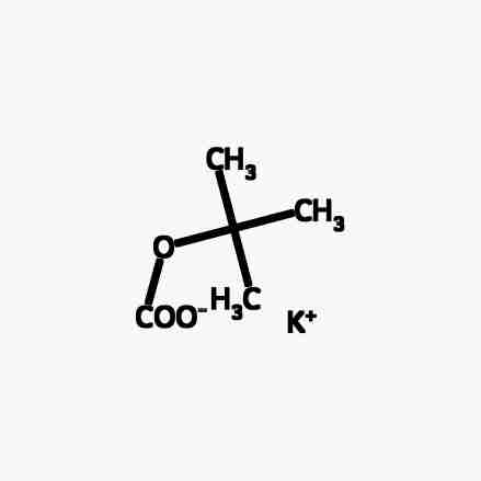 CC(C)(C)OC(=O)[O-].[K+]